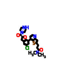 CN(C)C(=O)CCc1cc2nccc(-c3cc(Cl)cc4c3O[C@@H](C(=O)N3CCNCC3)C4)c2s1